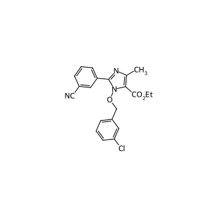 CCOC(=O)c1c(C)nc(-c2cccc(C#N)c2)n1OCc1cccc(Cl)c1